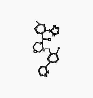 Cc1ccc(C(=O)N2CCOC[C@H]2Cc2cc(-c3cccnn3)ccc2F)c(-n2nccn2)c1